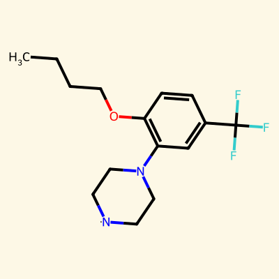 CCCCOc1ccc(C(F)(F)F)cc1N1CC[N]CC1